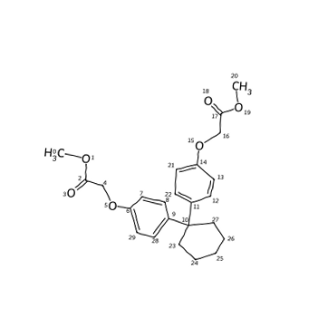 COC(=O)COc1ccc(C2(c3ccc(OCC(=O)OC)cc3)CCCCC2)cc1